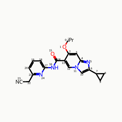 CC(C)Oc1cc2nc(C3CC3)cn2cc1C(=O)Nc1cccc(CC#N)n1